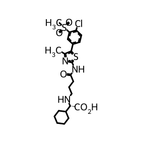 Cc1nc(NC(=O)CCCN[C@H](C(=O)O)C2CCCCC2)sc1-c1ccc(Cl)c(S(C)(=O)=O)c1